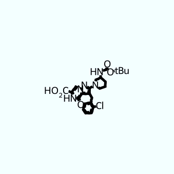 CC(C)(C)OC(=O)NC1CCCN(c2nn3cc(C(=O)O)[nH]c(=O)c3c2Cc2ccccc2Cl)C1